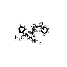 CN(c1ccccc1)c1nc(N)nc(-c2noc(C(=O)N3CCCCC3)n2)n1